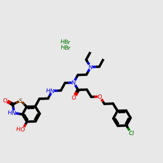 Br.Br.CCN(CC)CCN(CCNCCc1ccc(O)c2[nH]c(=O)sc12)C(=O)CCOCCc1ccc(Cl)cc1